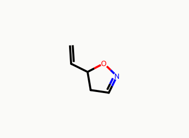 C=CC1CC=NO1